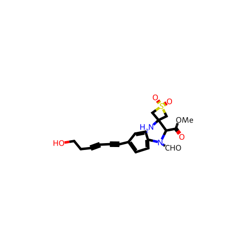 COC(=O)C(N(C=O)c1ccc(C#CC#CCCO)cc1)C1(N)CS(=O)(=O)C1